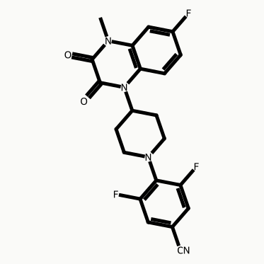 Cn1c(=O)c(=O)n(C2CCN(c3c(F)cc(C#N)cc3F)CC2)c2ccc(F)cc21